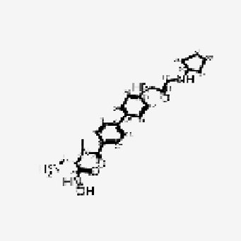 NC[C@H](NC(=O)c1ccc(-c2ccc(NC(=O)CNC3CCCC3)cc2)cc1)C(=O)NO